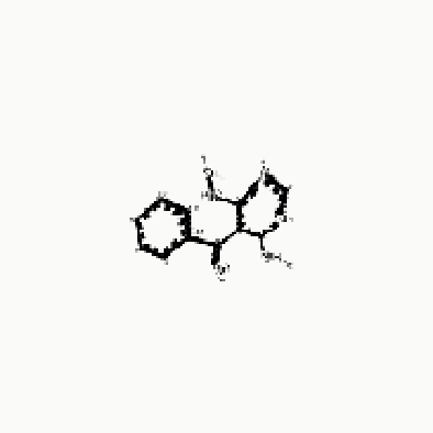 CNc1ncnc(N)c1C(=N)c1ccccc1